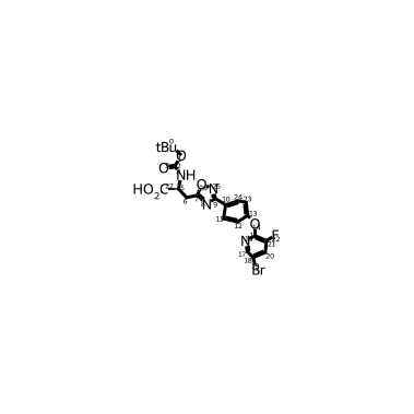 CC(C)(C)OC(=O)N[C@@H](Cc1nc(-c2ccc(Oc3ncc(Br)cc3F)cc2)no1)C(=O)O